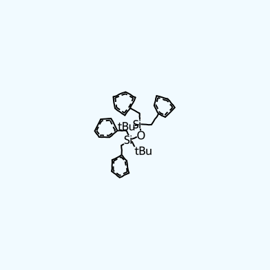 CC(C)(C)[Si](Cc1ccccc1)(Cc1ccccc1)O[Si](Cc1ccccc1)(Cc1ccccc1)C(C)(C)C